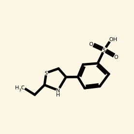 CCC1NC(c2cccc(S(=O)(=O)O)c2)CS1